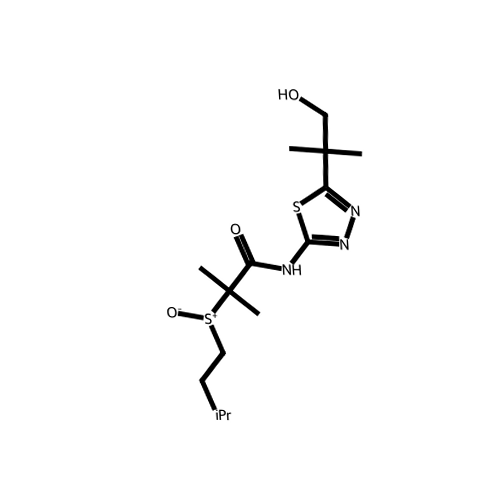 CC(C)CC[S+]([O-])C(C)(C)C(=O)Nc1nnc(C(C)(C)CO)s1